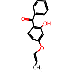 CC=COc1ccc(C(=O)c2ccccc2)c(O)c1